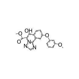 COC(=O)c1c(O)c2ccc(Oc3cccc(OC)c3)cc2c2ncnn12